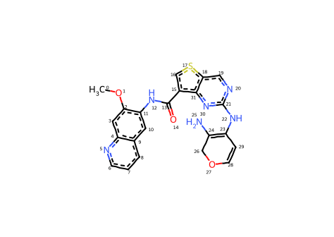 COc1cc2ncccc2cc1NC(=O)c1csc2cnc(NC3=C(N)COC=C3)nc12